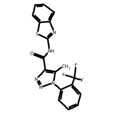 Cc1c(C(=O)Nc2nc3ccccc3s2)nnn1-c1ccccc1C(F)(F)F